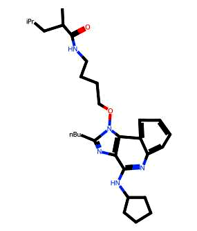 CCCCc1nc2c(NC3CCCC3)nc3ccccc3c2n1OCCCCNC(=O)C(C)CC(C)C